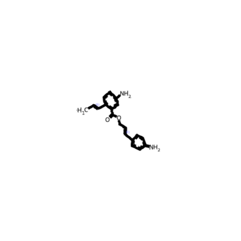 [CH2]/C=C/c1ccc(N)cc1C(=O)OC/C=C/c1ccc(N)cc1